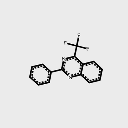 FC(F)(F)c1nc(-c2ccccc2)nc2ccccc12